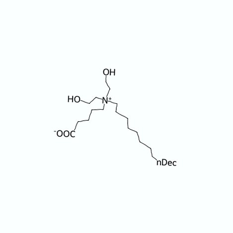 CCCCCCCCCCCCCCCCCC[N+](CCO)(CCO)CCCCC(=O)[O-]